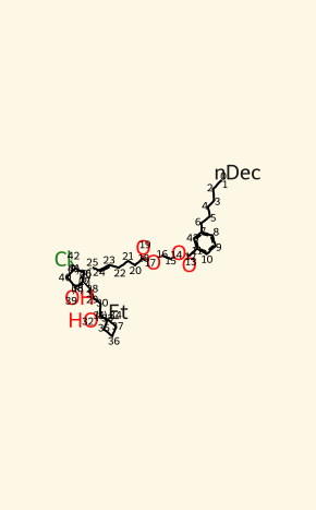 CCCCCCCCCCCCCCCCc1cccc(C(=O)OCCOC(=O)CCCC=CC[C@@H]2[C@@H](C=CC[C@H](O)C3(CC)CCC3)[C@H](O)C[C@H]2Cl)c1